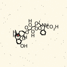 C[C@H](OC(=O)[C@H](O)[C@@H](O)C(=O)OC1=CC[C@@]2(O)[C@H]3Cc4ccc(O)c5c4[C@@]2(CCN3C)[C@H]1O5)C(=O)N[C@H](C(=O)O)c1ccccc1